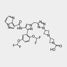 O=C(Nc1cn(Cc2nnn(C3CN(C4CN(C(=O)O)C4)C3)n2)nc1-c1cc(OC(F)F)ccc1OC(F)F)c1cnn2cccnc12